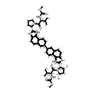 COC(=O)N[C@H](C(=O)N1CCC[C@H]1c1nc2ccc3cc(-c4ccc5c(ccc6nc([C@@H]7[C@H](C)C[C@H](C)N7C(=O)[C@@H](NC(=O)OC)C(C)C)[nH]c65)c4)ccc3c2[nH]1)C(C)C